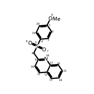 COc1ccc(S(=O)(=O)Cc2ccc3ccccc3n2)cc1